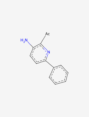 CC(=O)c1nc(-c2ccccc2)ccc1N